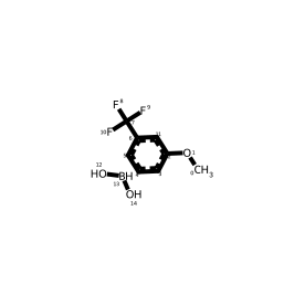 COc1cccc(C(F)(F)F)c1.OBO